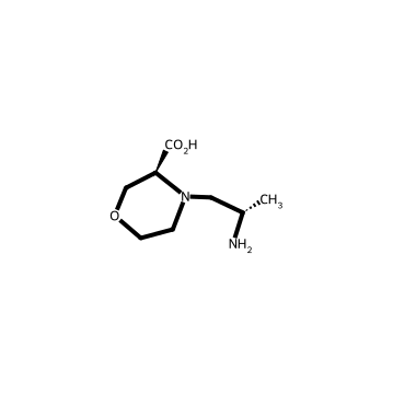 C[C@H](N)CN1CCOC[C@H]1C(=O)O